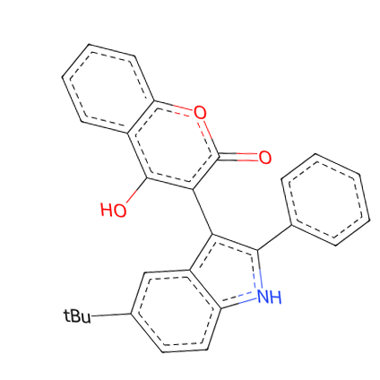 CC(C)(C)c1ccc2[nH]c(-c3ccccc3)c(-c3c(O)c4ccccc4oc3=O)c2c1